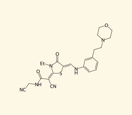 CCn1c(=C(C#N)C(=O)NCC#N)sc(=CNc2cccc(CCN3CCOCC3)c2)c1=O